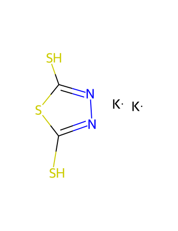 Sc1nnc(S)s1.[K].[K]